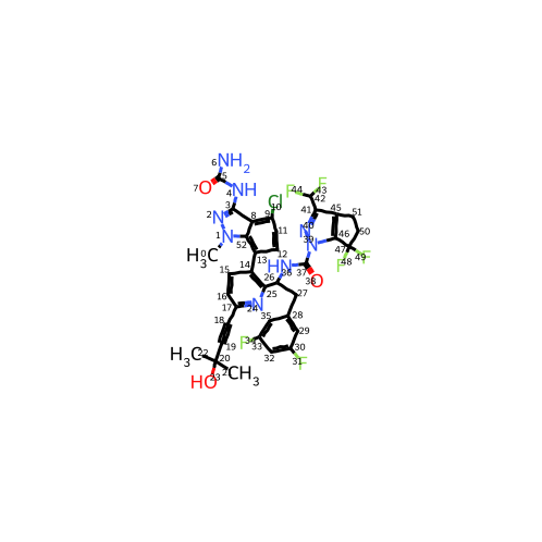 Cn1nc(NC(N)=O)c2c(Cl)ccc(-c3ccc(C#CC(C)(C)O)nc3C(Cc3cc(F)cc(F)c3)NC(=O)n3nc(C(F)F)c4c3C(F)(F)CC4)c21